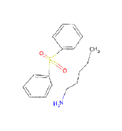 CCCCCN.O=S(=O)(c1ccccc1)c1ccccc1